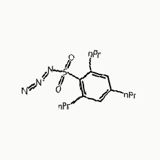 CCCc1cc(CCC)c(S(=O)(=O)N=[N+]=[N-])c(CCC)c1